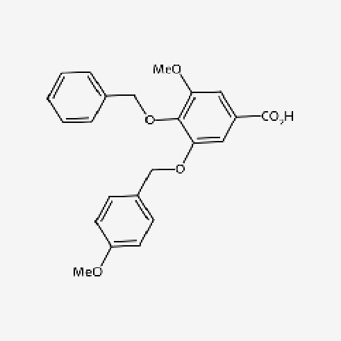 COc1ccc(COc2cc(C(=O)O)cc(OC)c2OCc2ccccc2)cc1